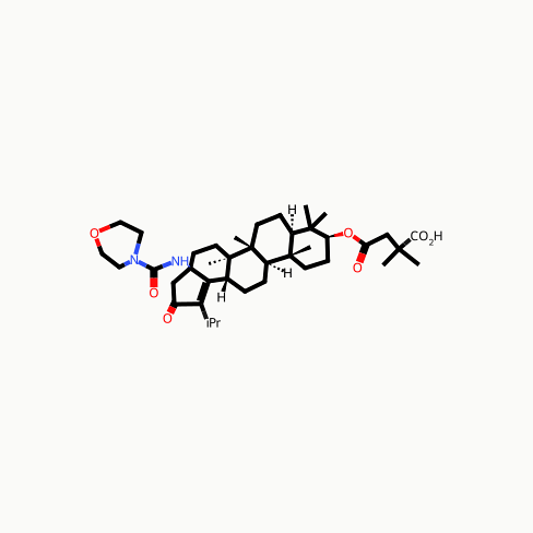 CC(C)C1=C2[C@H]3CC[C@@H]4[C@@]5(C)CC[C@H](OC(=O)CC(C)(C)C(=O)O)C(C)(C)[C@@H]5CC[C@@]4(C)[C@]3(C)CC[C@@]2(NC(=O)N2CCOCC2)CC1=O